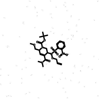 C=CCON(C1CN(C(=O)OC(C)(C)C)C(COC)C=C1C(=O)N(C)C)S(=O)(=O)c1ccccc1[N+](=O)[O-]